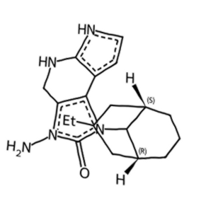 CCC1C[C@H]2CCC[C@@H](C1)C2n1c2c(n(N)c1=O)CNc1[nH]ccc1-2